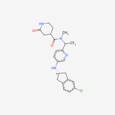 CN(C(=O)C1CCNC(=O)C1)C(c1ccc(N[C@H]2Cc3ccc(Cl)cc3C2)cn1)C(F)(F)F